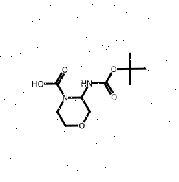 CC(C)(C)OC(=O)NC1COCCN1C(=O)O